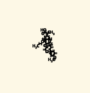 C=CCO[C@@H]1[C@H]2N=C(N(C)C(=O)O)S[C@H]2O[C@H](C(F)(F)CCc2ccc(OC)cc2)[C@H]1OCC=C